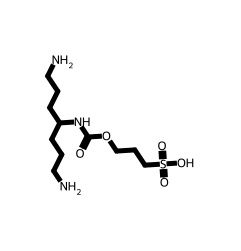 NCCCC(CCCN)NC(=O)OCCCS(=O)(=O)O